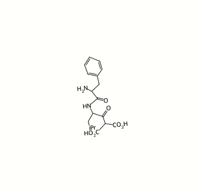 CC(C)CC(NC(=O)C(N)Cc1ccccc1)C(=O)C(C(=O)O)C(=O)O